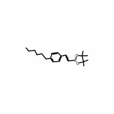 CCCCCCc1ccc(/C=C/B2OC(C)(C)C(C)(C)O2)cc1